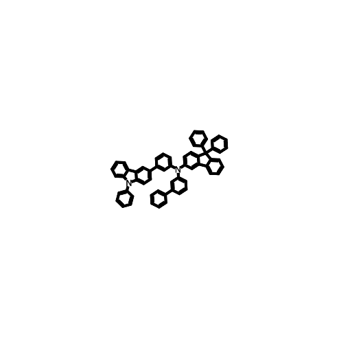 c1ccc(-c2cccc(N(c3cccc(-c4ccc5c(c4)c4ccccc4n5-c4ccccc4)c3)c3ccc4c(c3)-c3ccccc3C4(c3ccccc3)c3ccccc3)c2)cc1